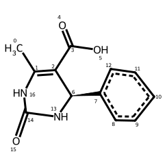 CC1=C(C(=O)O)[C@@H](c2ccccc2)NC(=O)N1